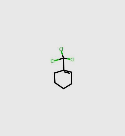 ClC(Cl)(Cl)C1=CCCCC1